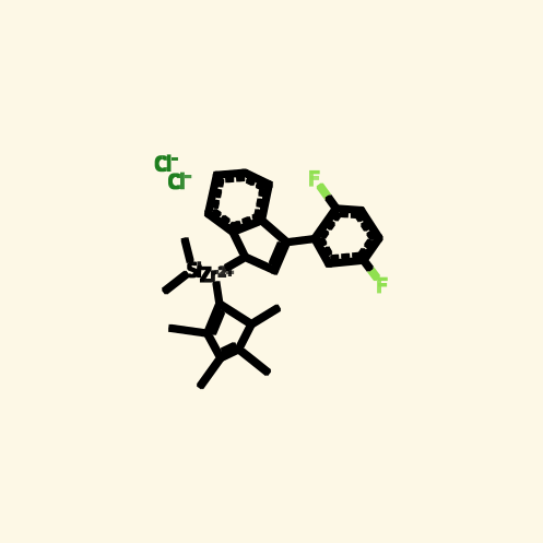 CC1=C(C)C(C)[C]([Zr+2]([CH]2C=C(c3cc(F)ccc3F)c3ccccc32)=[Si](C)C)=C1C.[Cl-].[Cl-]